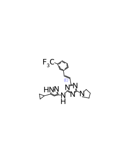 FC(F)(F)c1cccc(/C=C/c2nc(Nc3cc(C4CC4)[nH]n3)nc(N3CCCC3)n2)c1